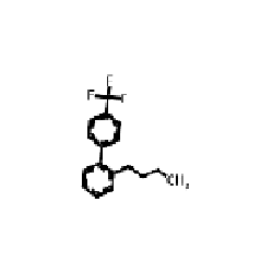 CCCCc1ccccc1-c1ccc(C(F)(F)F)cc1